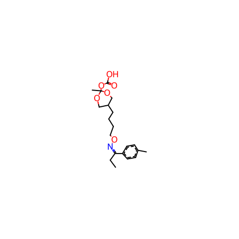 CCC(=NOCCCCC1COC(C)(OC(=O)O)OC1)c1ccc(C)cc1